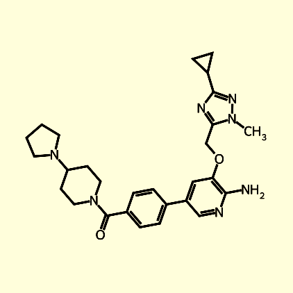 Cn1nc(C2CC2)nc1COc1cc(-c2ccc(C(=O)N3CCC(N4CCCC4)CC3)cc2)cnc1N